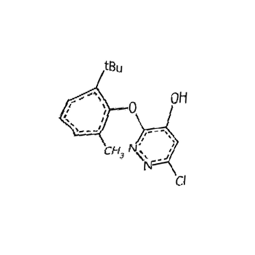 Cc1cccc(C(C)(C)C)c1Oc1nnc(Cl)cc1O